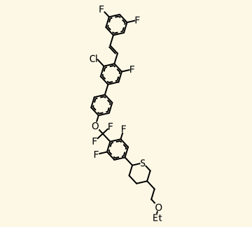 CCOCCC1CCC(c2cc(F)c(C(F)(F)Oc3ccc(-c4cc(F)c(/C=C/c5cc(F)cc(F)c5)c(Cl)c4)cc3)c(F)c2)SC1